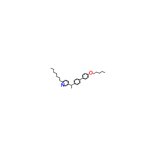 CCCCCCCc1ccc(C(C)c2ccc(-c3ccc(OCCCCC)cc3)cc2)cn1